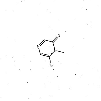 Cn1c(Br)cncc1=O